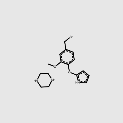 C1CNCCN1.COc1cc(CBr)ccc1Oc1ccc[nH]1